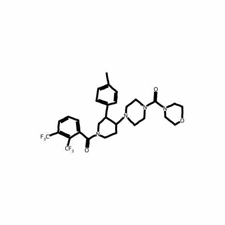 Cc1ccc(C2CN(C(=O)c3cccc(C(F)(F)F)c3C(F)(F)F)CCC2N2CCN(C(=O)N3CCOCC3)CC2)cc1